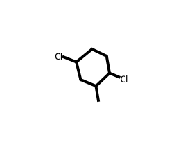 CC1CC(Cl)CCC1Cl